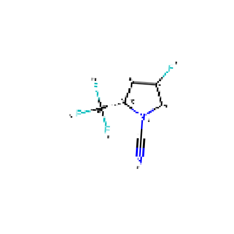 N#CN1CC(F)C[C@H]1C(F)(F)F